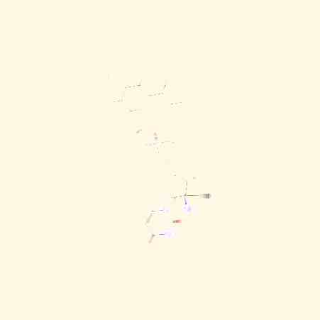 C#C[C@@]1(N)[C@H](O)[C@@H](COP(=O)(S)OP(=O)(O)OC2OC([C@@H](F)CO)C(O)C(O)C2O)O[C@H]1n1ccc(=O)[nH]c1=O